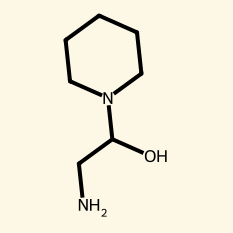 NCC(O)N1CCCCC1